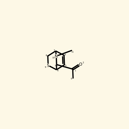 CC(=O)C1C2C=CC(CS2)N1C